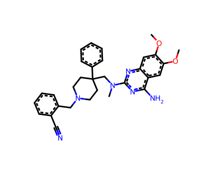 COc1cc2nc(N(C)CC3(c4ccccc4)CCN(Cc4ccccc4C#N)CC3)nc(N)c2cc1OC